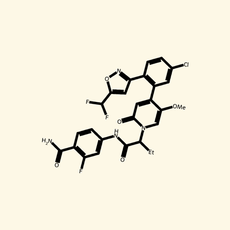 CCC(C(=O)Nc1ccc(C(N)=O)c(F)c1)n1cc(OC)c(-c2cc(Cl)ccc2-c2cc(C(F)F)on2)cc1=O